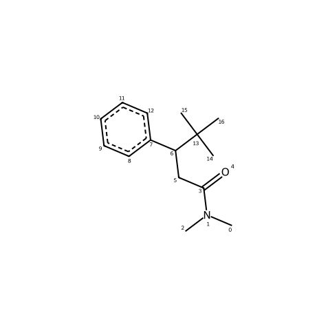 CN(C)C(=O)CC(c1ccccc1)C(C)(C)C